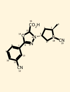 C[C@@H]1C[C@@H](N2N=C(c3cccc(C#N)c3)OC2C(=O)O)CN1C#N